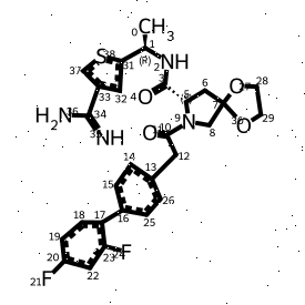 C[C@@H](NC(=O)[C@@H]1CC2(CN1C(=O)Cc1ccc(-c3ccc(F)cc3F)cc1)OCCO2)c1cc(C(=N)N)cs1